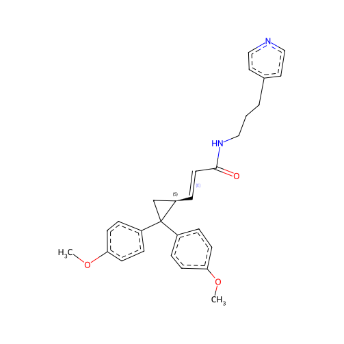 COc1ccc(C2(c3ccc(OC)cc3)C[C@H]2/C=C/C(=O)NCCCc2ccncc2)cc1